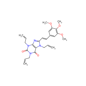 C=CCn1c(=O)c2c(nc(C=Cc3cc(OC)c(OC)c(OC)c3)n2CC=C)n(CC=C)c1=O